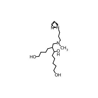 CN(CCCn1cccn1)CC(CCCCO)C(O)CCCCCO